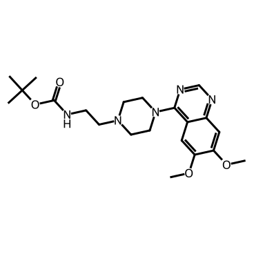 COc1cc2ncnc(N3CCN(CCNC(=O)OC(C)(C)C)CC3)c2cc1OC